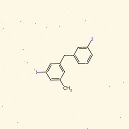 Cc1cc(I)cc(Cc2cccc(I)c2)c1